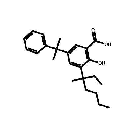 CCCCC(C)(CC)c1cc(C(C)(C)c2ccccc2)cc(C(=O)O)c1O